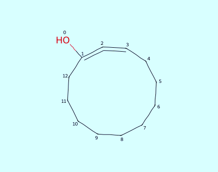 OC1=C=CCCCCCCCCC1